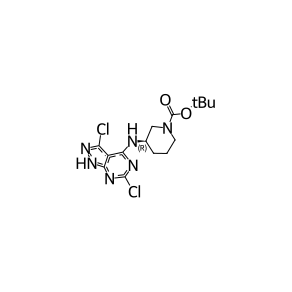 CC(C)(C)OC(=O)N1CCC[C@@H](Nc2nc(Cl)nc3[nH]nc(Cl)c23)C1